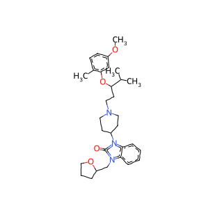 COc1ccc(C)c(OC(CCN2CCC(n3c(=O)n(CC4CCCO4)c4ccccc43)CC2)C(C)C)c1